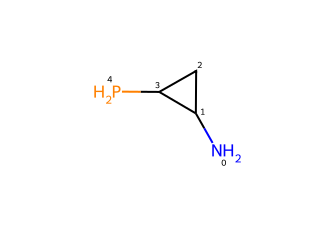 NC1CC1P